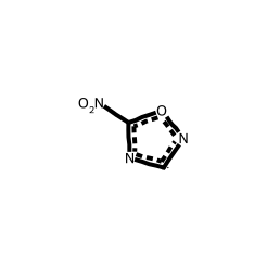 O=[N+]([O-])c1n[c]no1